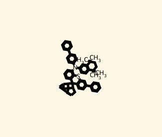 CC1(C)CCC(C)(C)c2cc(N(c3ccc(-c4ccccc4)cc3)c3cccc4c3Sc3cc(-c5ccccc5)ccc3C43C4CC5CC46C4C5C4C36)ccc21